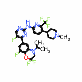 CC(C)N1CC(F)(F)Oc2c(F)cc(-c3nc(Nc4ccc(C5CCN(C)CC5)c(C(F)(F)F)n4)ncc3F)cc21